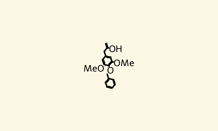 C=C(O)Cc1cc(OC)c(OCc2ccccc2)c(OC)c1